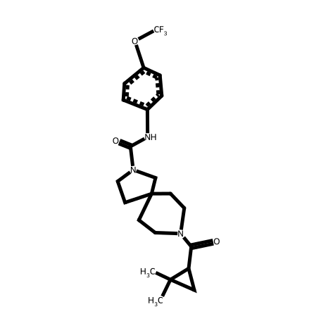 CC1(C)CC1C(=O)N1CCC2(CCN(C(=O)Nc3ccc(OC(F)(F)F)cc3)C2)CC1